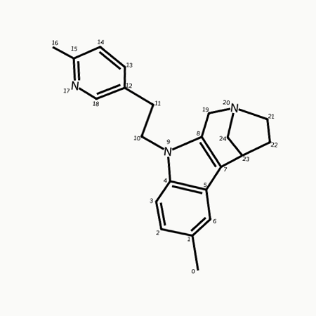 Cc1ccc2c(c1)c1c(n2CCc2ccc(C)nc2)CN2CCC1C2